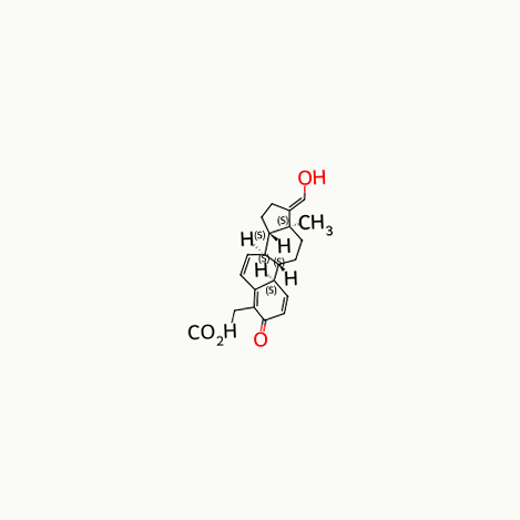 C[C@]12CC[C@H]3[C@@H](C=CC4=C(CC(=O)O)C(=O)C=C[C@@H]43)[C@@H]1CCC2=CO